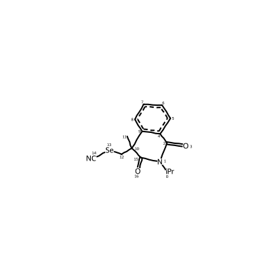 CC(C)N1C(=O)c2ccccc2C(C)(C[Se]C#N)C1=O